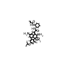 C=CC(=O)N[C@H]1CCCC[C@H]1NC(=O)c1sc2c(N)ccc3c2c1C(N)C(=O)C3(N)c1ccc(OC(C)C)nc1C